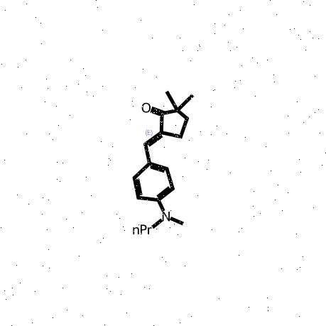 CCCN(C)c1ccc(/C=C2\CCC(C)(C)C2=O)cc1